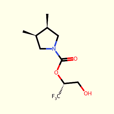 C[C@@H]1CN(C(=O)O[C@H](CO)C(F)(F)F)C[C@@H]1C